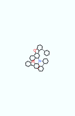 c1ccc(-c2ccccc2N(c2cc3c(oc4cccc(-c5ccccc5)c43)c3ccccc23)c2cccc3c2oc2ccccc23)cc1